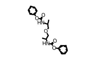 CC(COCC(C)NC(=O)Oc1ccccc1)NC(=O)Oc1ccccc1